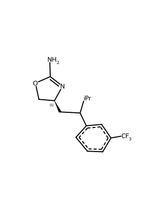 CC(C)C(C[C@H]1COC(N)=N1)c1cccc(C(F)(F)F)c1